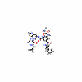 CC[C@H](NC[C@H](Cc1cscn1)NC(=O)c1cc(C(=O)NC(C)(C)c2ccccc2)cc(N(C)S(=O)(=O)N(C)C)c1)C(=O)NCC1CC1